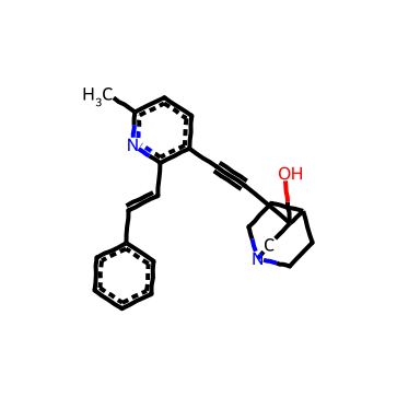 Cc1ccc(C#CC2(O)CN3CCC2CC3)c(C=Cc2ccccc2)n1